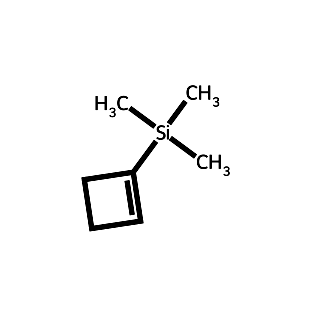 C[Si](C)(C)C1=CCC1